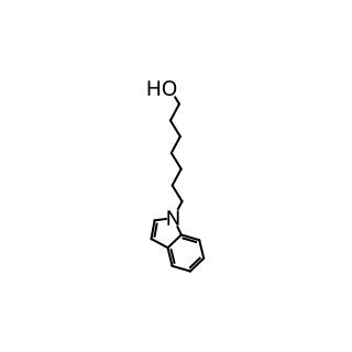 OCCCCCCCn1ccc2ccccc21